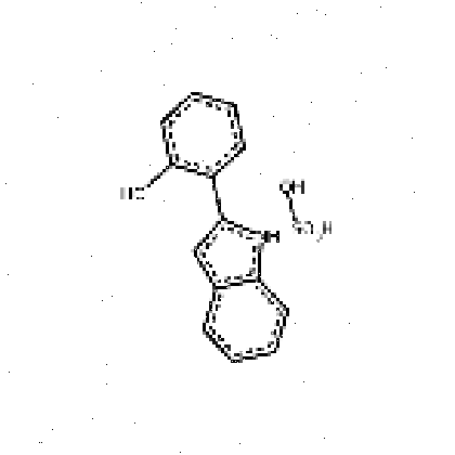 O=S(=O)(O)O.Oc1ccccc1-c1cc2ccccc2[nH]1